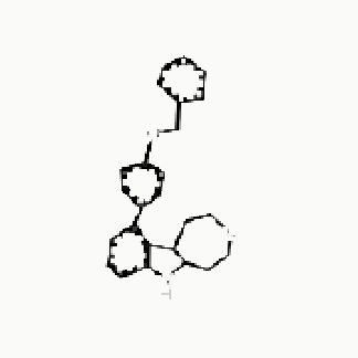 c1ccc(COc2ccc(-c3cccc4c3C3CCNCCC3N4)cc2)cc1